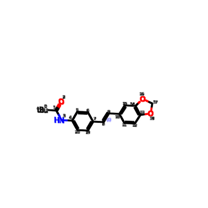 CC(C)(C)C(=O)Nc1ccc(/C=C/c2ccc3c(c2)OCO3)cc1